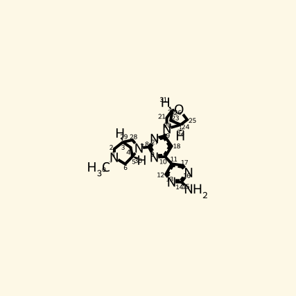 CN1C[C@@H]2C[C@@H](C1)N(c1nc(-c3cnc(N)nc3)cc(N3C[C@@H]4C[C@H]3CO4)n1)C2